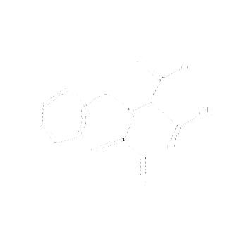 O=C(O)C(C(=O)O)N(Cc1ccccc1)C(=O)C=S